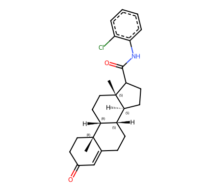 C[C@]12CCC(=O)C=C1CC[C@@H]1[C@H]2CC[C@]2(C)C(C(=O)Nc3ccccc3Cl)CC[C@@H]12